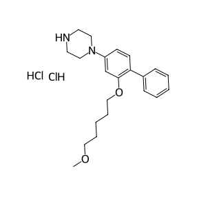 COCCCCCOc1cc(N2CCNCC2)ccc1-c1ccccc1.Cl.Cl